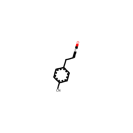 N#Cc1ccc(CC=C=O)cc1